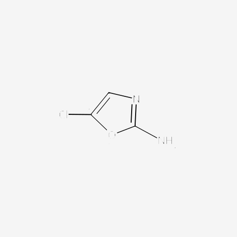 Nc1ncc(Cl)o1